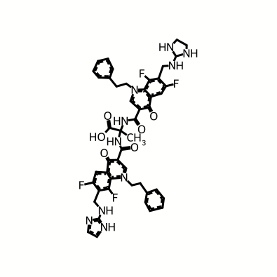 CC(NC(=O)c1cn(CCc2ccccc2)c2c(F)c(CNc3ncc[nH]3)c(F)cc2c1=O)(NC(=O)c1cn(CCc2ccccc2)c2c(F)c(CNC3NCCN3)c(F)cc2c1=O)C(=O)O